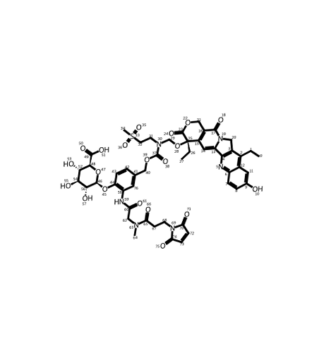 CCc1c2c(nc3ccc(O)cc13)-c1cc3c(c(=O)n1C2)COC(=O)[C@@]3(CC)OCN(CCS(C)(=O)=O)C(=O)OCc1ccc(O[C@@H]2O[C@H](C(=O)O)[C@@H](O)[C@H](O)[C@H]2O)c(NC(=O)CN(C)C(=O)CCN2C(=O)C=CC2=O)c1